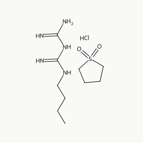 CCCCNC(=N)NC(=N)N.Cl.O=S1(=O)CCCC1